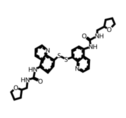 O=C(NCC1CCCO1)Nc1ccc(SSc2ccc(NC(=O)NCC3CCCO3)c3cccnc23)c2ncccc12